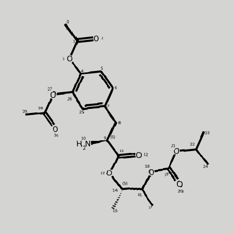 CC(=O)Oc1ccc(C[C@H](N)C(=O)O[C@@H](C)C(C)OC(=O)OC(C)C)cc1OC(C)=O